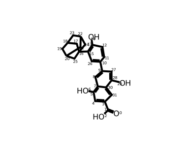 O=C(O)c1cc(O)c2cc(-c3ccc(O)c(C45CC6CC(CC(C6)C4)C5)c3)cc(O)c2c1